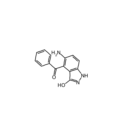 Nc1ccc2[nH]nc(O)c2c1C(=O)c1ccccc1